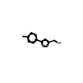 OCc1cc(-c2ccc(I)cc2)on1